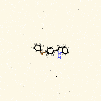 c1ccc2[nH]c(-c3ccc(SC4CCCCC4)cc3)cc2c1